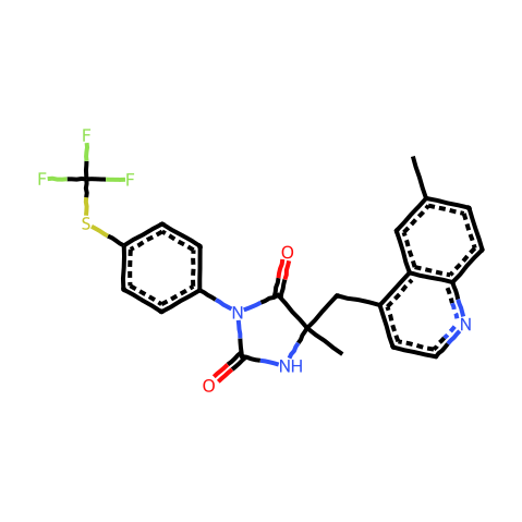 Cc1ccc2nccc(CC3(C)NC(=O)N(c4ccc(SC(F)(F)F)cc4)C3=O)c2c1